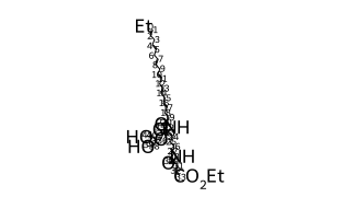 CCC=CCC=CCC=CCC=CCC=CCC=CCCC(=O)N[C@@H](CCCCNC(=O)C=CC(=O)OCC)C(=O)OC(CO)CO